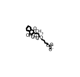 CC1=C(C(C)(C)CC(=O)OCCCCO[N+](=O)[O-])C(=O)c2ccccc2C1=O